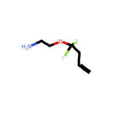 C=CCC(F)(F)OCCN